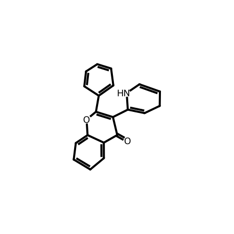 O=c1c(C2=CCC=CN2)c(-c2ccccc2)oc2ccccc12